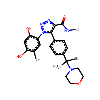 CCNC(=O)c1nnn(-c2cc(C(C)C)c(O)cc2O)c1-c1ccc(C(CC)(C(=O)O)N2CCOCC2)cc1